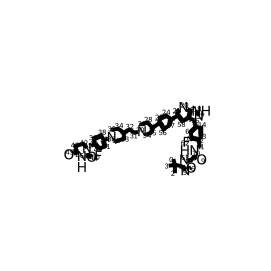 CC(C)(C)c1noc(C(=O)NCc2ccc(-c3n[nH]c4ncc(-c5ccc(C6CCN(CCC7CCN(c8ccc(N9CCC(=O)NC9=O)c(F)c8)CC7)CC6)cc5)cc34)cc2F)n1